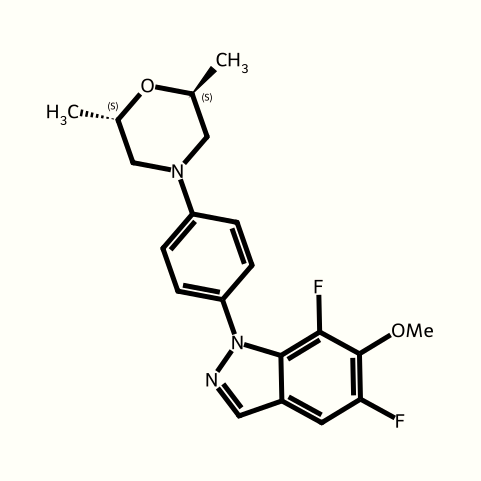 COc1c(F)cc2cnn(-c3ccc(N4C[C@H](C)O[C@@H](C)C4)cc3)c2c1F